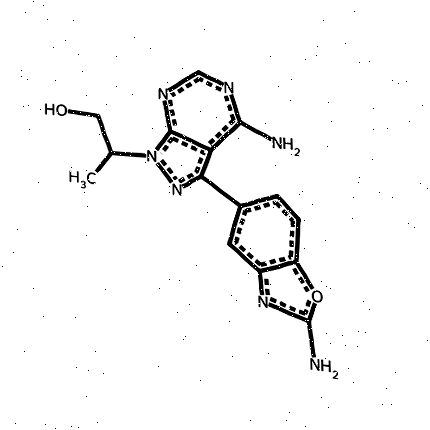 CC(CO)n1nc(-c2ccc3oc(N)nc3c2)c2c(N)ncnc21